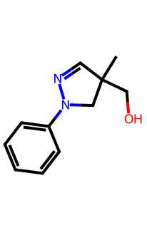 CC1(CO)C=NN(c2ccccc2)C1